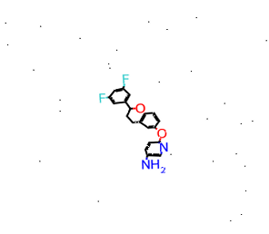 Nc1ccc(Oc2ccc3c(c2)CCC(c2cc(F)cc(F)c2)O3)nc1